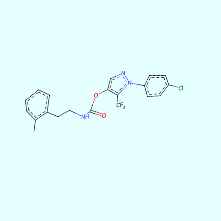 Cc1ccccc1CCNC(=O)Oc1cnn(-c2ccc(Cl)cc2)c1C(F)(F)F